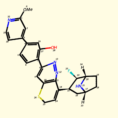 COc1cc(-c2ccc(-c3cc4c(nn3)C([C@@H]3C[C@H]5CC[C@H](N5)[C@@H]3F)=CCS4)c(O)c2)ccn1